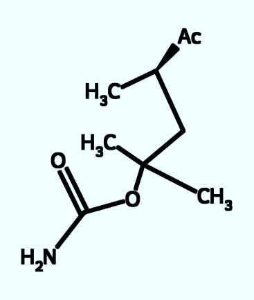 CC(=O)[C@H](C)CC(C)(C)OC(N)=O